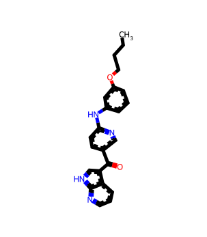 CCCCOc1cccc(Nc2ccc(C(=O)c3c[nH]c4ncccc34)cn2)c1